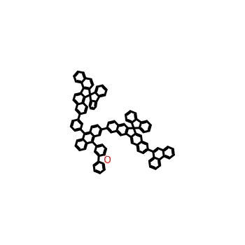 c1cc(-c2ccc3c4c(ccc3c2)-c2c(ccc3ccccc23)C42c3ccccc3-c3ccccc32)cc(-c2c3ccccc3c(-c3ccc4oc5ccccc5c4c3)c3cc(-c4ccc5cc6c(cc5c4)-c4cc5ccc(-c7cc8ccccc8c8ccccc78)cc5cc4C64c5ccccc5-c5ccccc54)ccc23)c1